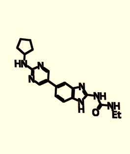 CCNC(=O)Nc1nc2cc(-c3cnc(NC4CCCC4)nc3)ccc2[nH]1